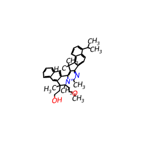 COCCC1(C)[n+]2c(C)nc3c(c2-c2cc4ccccc4cc2C1(C)CCO)C(C)(C)c1c-3ccc2c(C(C)C)cccc12